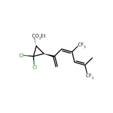 C=C(/C=C(\C=C(/C)C(F)(F)F)C(F)(F)F)[C@@H]1[C@@H](C(=O)OCC)C1(Cl)Cl